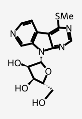 CSc1ncnc2c1c1ccncc1n2[C@@H]1O[C@H](CO)[C@@H](O)[C@H]1O